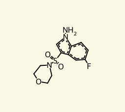 Nn1cc(S(=O)(=O)N2CCOCC2)c2cc(F)ccc21